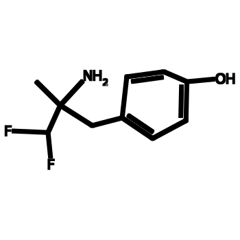 CC(N)(Cc1ccc(O)cc1)C(F)F